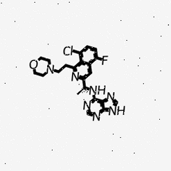 C[C@H](Nc1ncnc2[nH]cnc12)c1cc2c(F)ccc(Cl)c2c(CCN2CCOCC2)n1